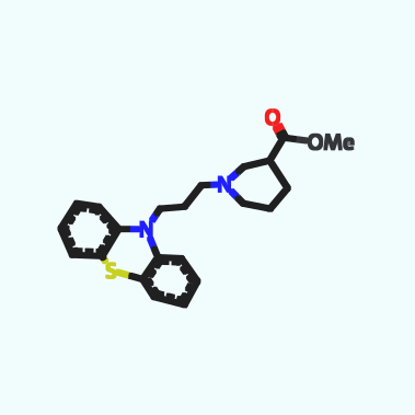 COC(=O)C1CCCN(CCCN2c3ccccc3Sc3ccccc32)C1